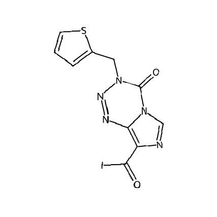 O=C(I)c1ncn2c(=O)n(Cc3cccs3)nnc12